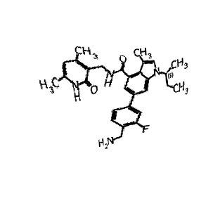 CC[C@H](C)n1cc(C)c2c(C(=O)NCc3c(C)cc(C)[nH]c3=O)cc(-c3ccc(CN)c(F)c3)cc21